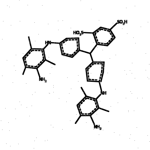 Cc1cc(C)c(Nc2ccc(C(c3ccc(Nc4c(C)cc(C)c(N)c4C)cc3)c3ccc(S(=O)(=O)O)cc3S(=O)(=O)O)cc2)c(C)c1N